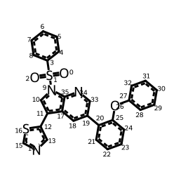 O=S(=O)(c1ccccc1)n1cc(-c2cncs2)c2cc(-c3ccccc3Oc3ccccc3)cnc21